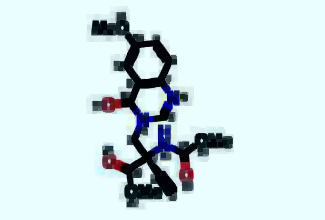 C#C[C@@](Cn1cnc2ccc(OC)cc2c1=O)(NC(=O)OC)C(=O)OC